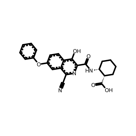 N#Cc1nc(C(=O)N[C@@H]2CCCC[C@@H]2C(=O)O)c(O)c2ccc(Oc3ccccc3)cc12